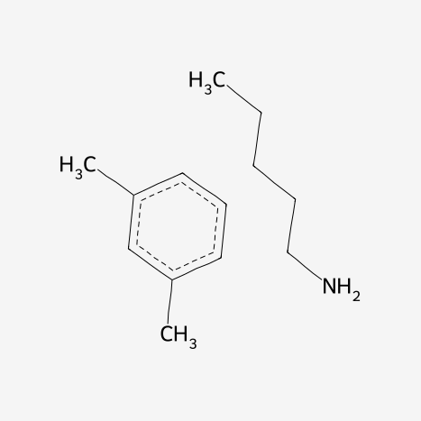 CCCCCN.Cc1cccc(C)c1